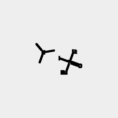 CCC(C)P(=O)(I)CC.CN(C)C